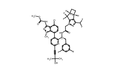 COC(=O)Nc1nn(C)c2c(-c3ccc(C#CC(C)(C)O)nc3[C@H](Cc3cc(F)cc(F)c3)NC(=O)Cn3nc(C(F)F)c4c3C(F)(F)[C@@H]3CC[C@H]43)ccc(Cl)c12